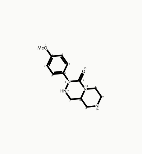 COc1ccc(N2NCC3CNCCN3C2=O)cc1